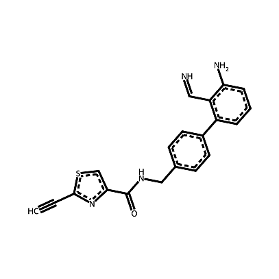 C#Cc1nc(C(=O)NCc2ccc(-c3cccc(N)c3C=N)cc2)cs1